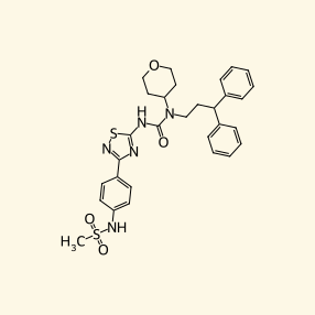 CS(=O)(=O)Nc1ccc(-c2nsc(NC(=O)N(CCC(c3ccccc3)c3ccccc3)C3CCOCC3)n2)cc1